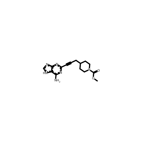 COC(=O)N1CCC(CC#Cc2nc(N)c3[nH]cnc3n2)CC1